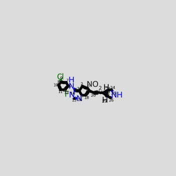 O=[N+]([O-])c1cc2c(Nc3cc(Cl)ccc3F)ncnc2cc1C#CC1[C@H]2CNC[C@@H]12